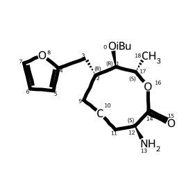 CC(C)CO[C@@H]1[C@@H](Cc2ccco2)CCC[C@H](N)C(=O)O[C@H]1C